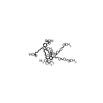 COCCOCCOCCN(CCOCCOCCOC)c1ccc2c(c1)OC(/C=C/C=C1/N(CCCCCC(=O)O)c3ccc(S(=O)(=O)O)cc3C1(C)CCCS(=O)(=O)O)C=C2C(C)(C)C